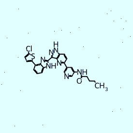 CCCCC(=O)Nc1cncc(-c2ccc3[nH]nc(-c4nc5c(-c6ccc(Cl)s6)cccc5[nH]4)c3n2)c1